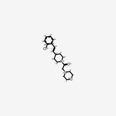 O=C(CN1CCOCC1)N1CCC(/C=C/c2ccccc2Cl)CC1